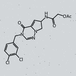 CC(=O)OCC(=O)NC1C=C2C(=O)N(Cc3ccc(Cl)c(Cl)c3)C=NN2C1